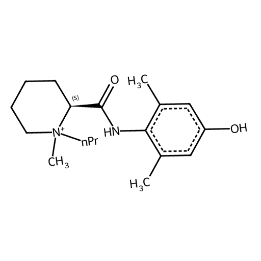 CCC[N+]1(C)CCCC[C@H]1C(=O)Nc1c(C)cc(O)cc1C